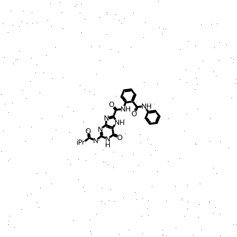 CC(C)C(=O)[N]c1nc2nc(C(=O)Nc3ccccc3C(=O)Nc3ccccc3)[nH]c2c(=O)[nH]1